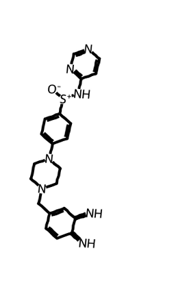 N=C1C=CC(CN2CCN(c3ccc([S+]([O-])Nc4ccncn4)cc3)CC2)=CC1=N